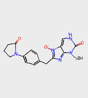 CCCCn1c2nc(Cc3ccc(N4CCCC4=O)cc3)[n+]([O-])c-2c[nH]c1=O